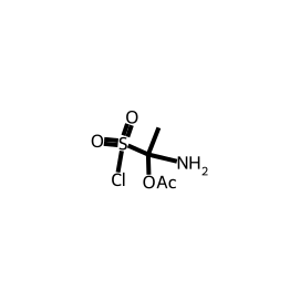 CC(=O)OC(C)(N)S(=O)(=O)Cl